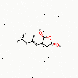 C=C(C)C/C(C)=C/C1CC(=O)OC1=O